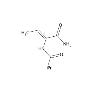 C/C=C(\NC(=O)C(C)C)C(N)=O